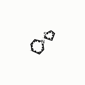 [c]1cccs1.[c]1ccncc1